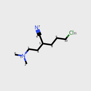 CN(C)CCC(C#N)CCCCl